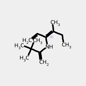 C=C/C(NC(=C)C(C)(C)C)=C(\C)CC